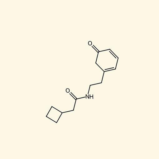 O=C1C=CC=C(CCNC(=O)CC2CCC2)C1